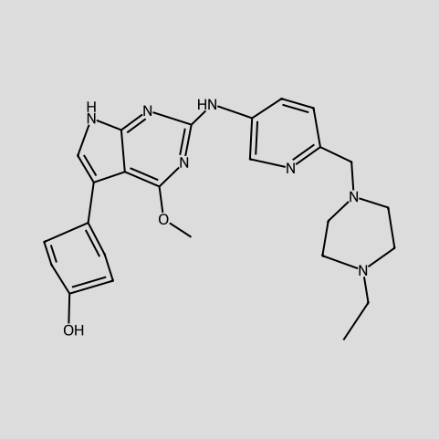 CCN1CCN(Cc2ccc(Nc3nc(OC)c4c(-c5ccc(O)cc5)c[nH]c4n3)cn2)CC1